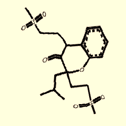 CC(C)CC1(CCS(C)(=O)=O)Oc2ccccc2C(CCS(C)(=O)=O)C1=O